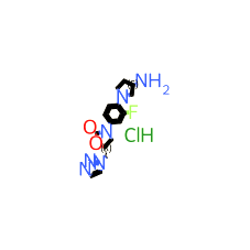 Cl.N[C@H]1CCN(c2ccc(N3C[C@H](Cn4ccnn4)OC3=O)cc2F)C1